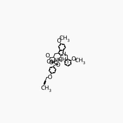 CC#CCOc1ccc(S(=O)(=O)NC(Cc2c(C)n(Cc3ccccc3OC)c3ccc(OC)cc23)C(=O)O)cc1